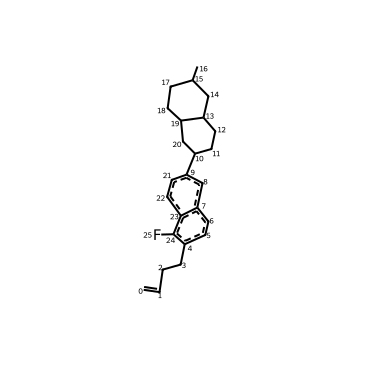 C=CCCc1ccc2cc(C3CCC4CC(C)CCC4C3)ccc2c1F